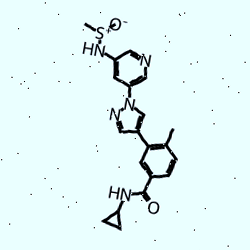 Cc1ccc(C(=O)NC2CC2)cc1-c1cnn(-c2cncc(N[S+](C)[O-])c2)c1